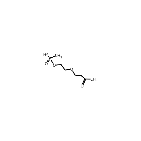 CC(=O)CCOCCOP(C)(=O)S